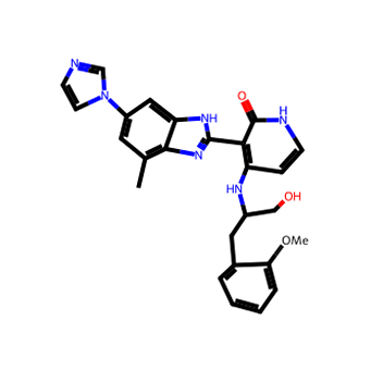 COc1ccccc1CC(CO)Nc1cc[nH]c(=O)c1-c1nc2c(C)cc(-n3ccnc3)cc2[nH]1